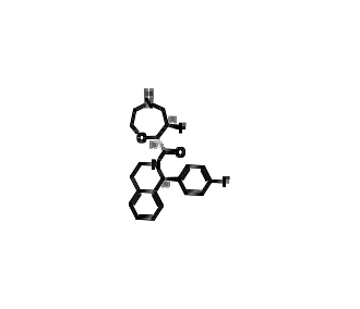 O=C([C@@H]1OCCNC[C@H]1F)N1CCc2ccccc2[C@@H]1c1ccc(F)cc1